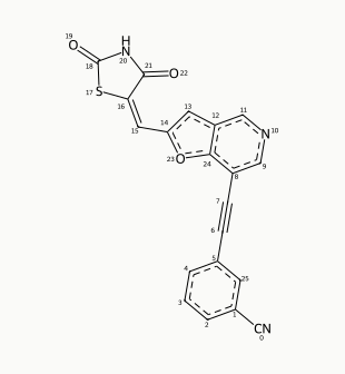 N#Cc1cccc(C#Cc2cncc3cc(C=C4SC(=O)NC4=O)oc23)c1